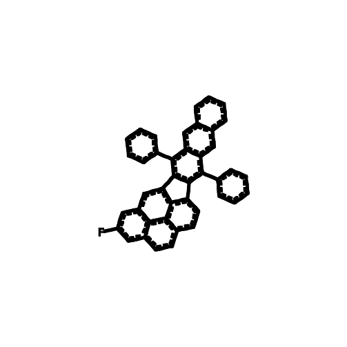 Fc1cc2ccc3ccc4c5c(cc(c1)c2c35)-c1c-4c(-c2ccccc2)c2cc3ccccc3cc2c1-c1ccccc1